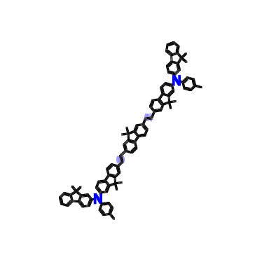 Cc1ccc(N(c2ccc3c(c2)C(C)(C)c2ccccc2-3)c2ccc3c(c2)C(C)(C)c2cc(/C=C/c4ccc5c(c4)C(C)(C)c4cc(/C=C/c6ccc7c(c6)C(C)(C)c6cc(N(c8ccc(C)cc8)c8ccc9c(c8)C(C)(C)c8ccccc8-9)ccc6-7)ccc4-5)ccc2-3)cc1